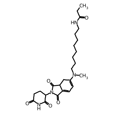 CCC(=O)NCCCCCCCCN(C)C1=CC=C2C(=O)N(C3CCC(=O)NC3=O)C(=O)C2C1